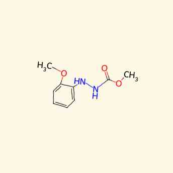 COC(=O)NNc1ccccc1OC